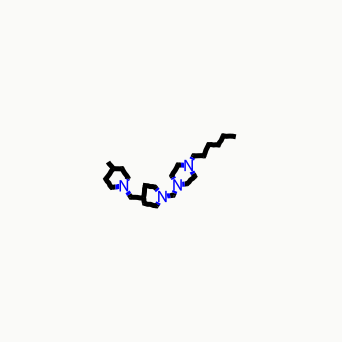 CCCCCCN1CCN(CN2CCC(CN3CCC(C)CC3)CC2)CC1